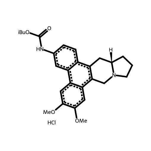 COc1cc2c3c(c4ccc(NC(=O)OCC(C)C)cc4c2cc1OC)C[C@@H]1CCCN1C3.Cl